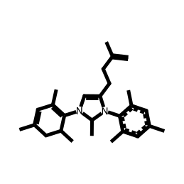 C=C(C)CCC1=CN(C2=C(C)C=C(C)CC2C)C(C)N1c1c(C)cc(C)cc1C